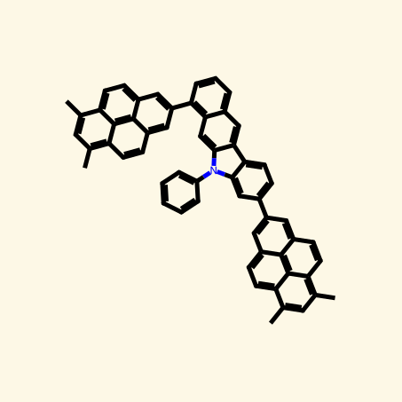 Cc1cc(C)c2ccc3cc(-c4ccc5c6cc7cccc(-c8cc9ccc%10c(C)cc(C)c%11ccc(c8)c9c%10%11)c7cc6n(-c6ccccc6)c5c4)cc4ccc1c2c43